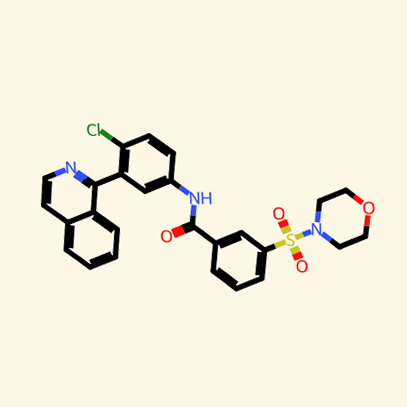 O=C(Nc1ccc(Cl)c(-c2nccc3ccccc23)c1)c1cccc(S(=O)(=O)N2CCOCC2)c1